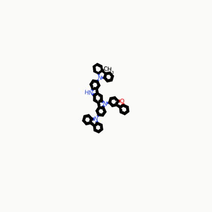 CC12C=CC=CC1N(c1ccc3[nH]c4cc5c6cc(-n7c8ccccc8c8ccccc87)ccc6n(-c6ccc7oc8ccccc8c7c6)c5cc4c3c1)c1ccccc12